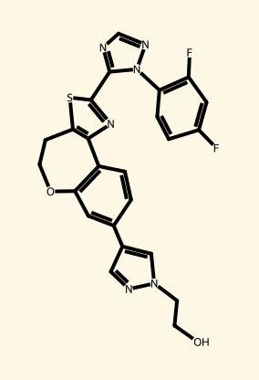 OCCn1cc(-c2ccc3c(c2)OCCc2sc(-c4ncnn4-c4ccc(F)cc4F)nc2-3)cn1